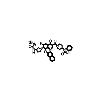 CC(C)(C)OC(=O)NC1CCN(c2c(F)cc3c(=O)c(C(=O)N4CCC(n5c(=O)[nH]c6ccccc65)CC4)cn4c3c2Oc2cc3ccccc3cc2-4)C1